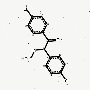 O=C(O)NC(C(=O)c1ccc(Cl)cc1)c1ccc(Cl)cc1